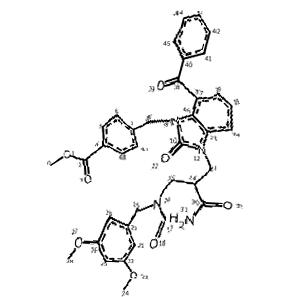 COC(=O)c1ccc(Cn2c(=O)n(CC(CN(C=O)Cc3cc(OC)cc(OC)c3)C(N)=O)c3cccc(C(=O)c4ccccc4)c32)cc1